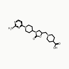 Nc1nccc(N2CCC(N3CC(CN4CCC(C(=O)O)CC4)OC3=O)CC2)n1